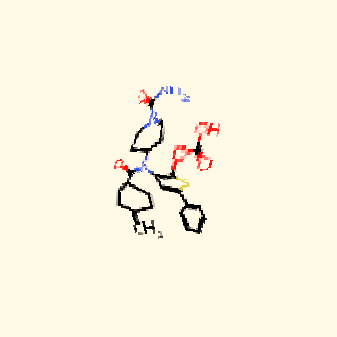 CC1CCC(C(=O)N(c2cc(-c3ccccc3)sc2OC(=O)O)C2CCN(C(N)=O)CC2)CC1